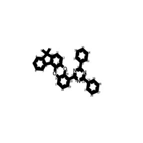 CC1(C)c2ccccc2-c2c1ccc1c2Oc2cccc(-c3nc(-c4ccccc4)nc(-c4ccccc4)n3)c2O1